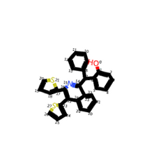 Oc1ccccc1C(c1ccccc1)c1nc(-c2cccs2)c(-c2cccs2)c2ccccc12